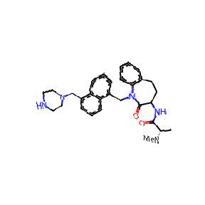 CN[C@@H](C)C(=O)NC1CCc2ccccc2N(Cc2cccc3c(CN4CCNCC4)cccc23)C1=O